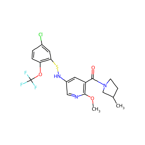 COc1ncc(NSc2cc(Cl)ccc2OC(F)(F)F)cc1C(=O)N1CCC(C)C1